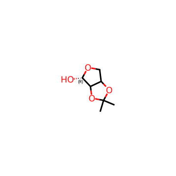 CC1(C)OC2CO[C@@H](O)C2O1